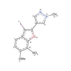 COc1ccc2c(I)c(-c3cnn(C)c3)oc2c1[N+](=O)[O-]